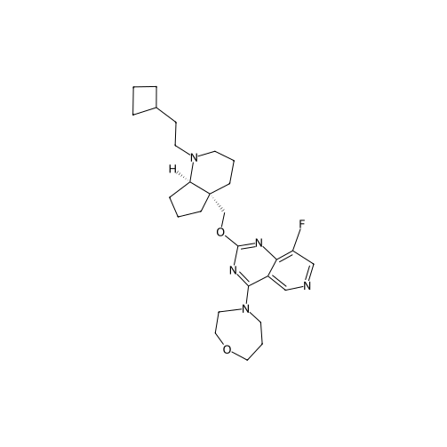 Fc1cncc2c(N3CCCOCC3)nc(OC[C@]34CCC[C@H]3N(CCC3CCC3)CCC4)nc12